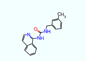 Cc1cccc(CNC(=O)Nc2nccc3ccccc23)c1